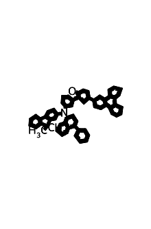 CC1(C)c2ccccc2-c2ccc(N(c3ccc4oc5ccc(-c6ccc7c8ccccc8c8ccccc8c7c6)cc5c4c3)c3ccc(-c4ccccc4)c4ccccc34)cc21